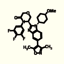 CO[C@H]1CC[C@H](n2c([C@@H]3COCC(=O)N3c3cc(F)c(F)c(F)c3)nc3cc(-c4c(C)noc4C)ccc32)CC1